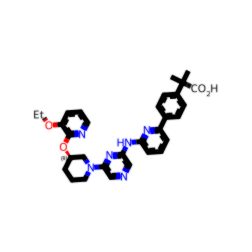 CCOc1cccnc1O[C@@H]1CCCN(c2cncc(Nc3cccc(-c4ccc(C(C)(C)C(=O)O)cc4)n3)n2)C1